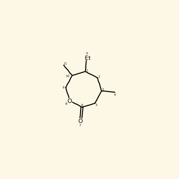 CCC1CC(C)CC(=O)OCC1C